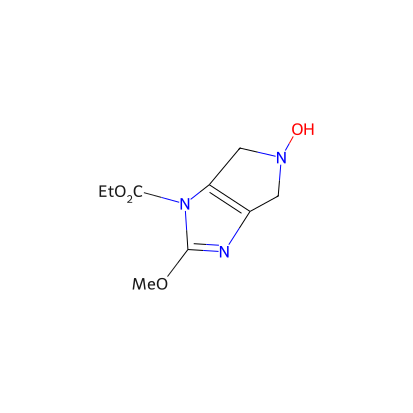 CCOC(=O)n1c(OC)nc2c1CN(O)C2